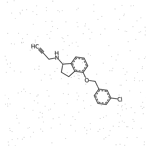 C#CCNC1CCc2c(OCc3cccc(Cl)c3)cccc21